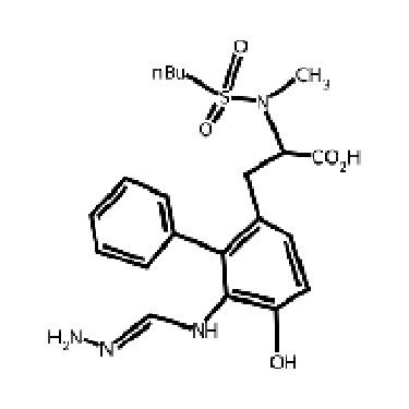 CCCCS(=O)(=O)N(C)C(Cc1ccc(O)c(NC=NN)c1-c1ccccc1)C(=O)O